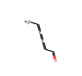 CC=C=C=C[C]=O